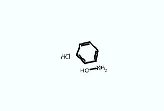 Cl.NO.c1ccccc1